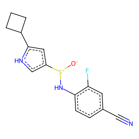 N#Cc1ccc(N[S+]([O-])c2c[nH]c(C3CCC3)c2)c(F)c1